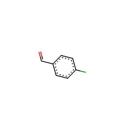 O=[C]c1ccc(F)cc1